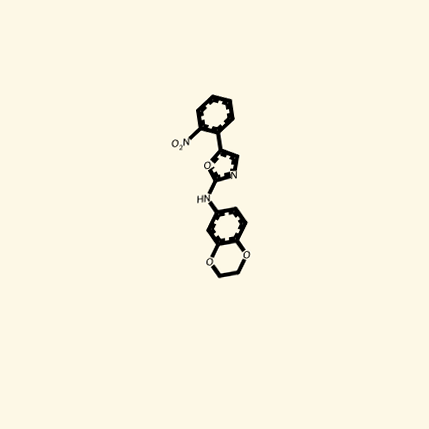 O=[N+]([O-])c1ccccc1-c1cnc(Nc2ccc3c(c2)OCCO3)o1